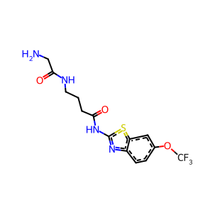 NCC(=O)NCCCC(=O)Nc1nc2ccc(OC(F)(F)F)cc2s1